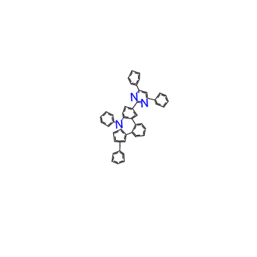 c1ccc(-c2ccc3c(c2)-c2ccccc2-c2cc(-c4nc(-c5ccccc5)cc(-c5ccccc5)n4)ccc2N3c2ccccc2)cc1